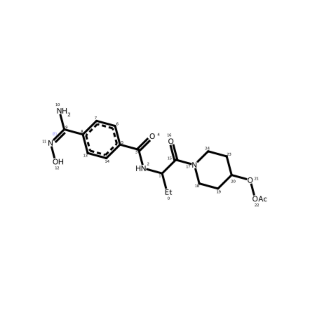 CCC(NC(=O)c1ccc(/C(N)=N\O)cc1)C(=O)N1CCC(OOC(C)=O)CC1